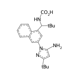 CC(C)(C)c1cc(N)n(-c2cc(C(NC(=O)O)C(C)(C)C)c3ccccc3c2)n1